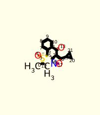 CC(C)[S+]([O-])Cc1ccccc1C(=O)c1cnoc1C1CC1